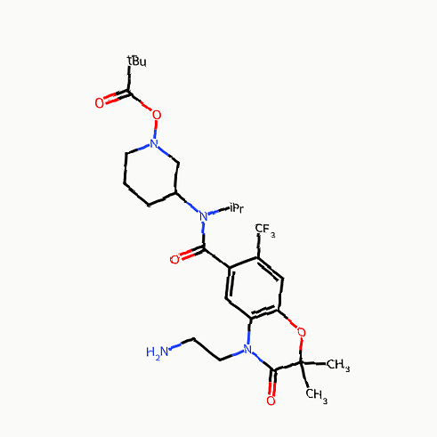 CC(C)N(C(=O)c1cc2c(cc1C(F)(F)F)OC(C)(C)C(=O)N2CCN)C1CCCN(OC(=O)C(C)(C)C)C1